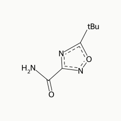 CC(C)(C)c1nc(C(N)=O)no1